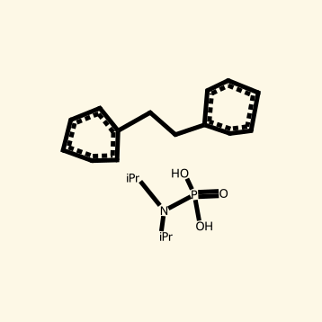 CC(C)N(C(C)C)P(=O)(O)O.c1ccc(CCc2ccccc2)cc1